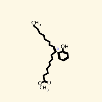 CCCCCCCC/C=C\CCCCCCCC(=O)OC.Oc1ccccc1